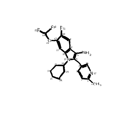 Cc1ccc(-c2c(N)c3cc(F)c(OC(F)F)cc3n2C2CCCCC2)cn1